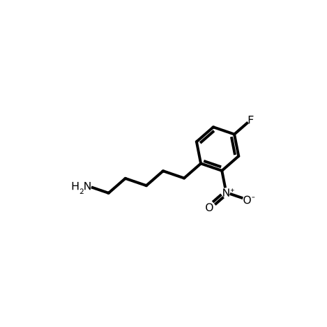 NCCCCCc1ccc(F)cc1[N+](=O)[O-]